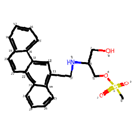 CS(=O)(=O)OCC(CO)NCc1cc2c3ccccc3ccc2c2ccccc12